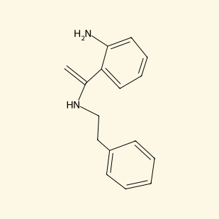 C=C(NCCc1ccccc1)c1ccccc1N